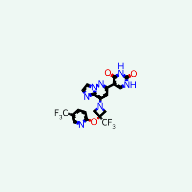 O=c1[nH]cc(-c2cc(N3CC(Oc4ccc(C(F)(F)F)cn4)(C(F)(F)F)C3)c3nccn3n2)c(=O)[nH]1